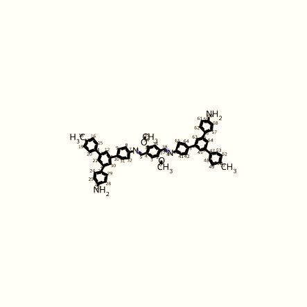 COc1cc(/C=N/c2ccc(-c3cc(-c4ccc(C)cc4)cc(-c4ccc(N)cc4)c3)cc2)c(OC)cc1/C=N/c1ccc(-c2cc(-c3ccc(C)cc3)cc(-c3ccc(N)cc3)c2)cc1